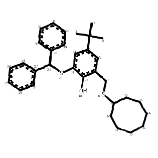 CC(C)(C)c1cc(CSC2CCCCCCC2)c(O)c(SC(c2ccccc2)c2ccccc2)c1